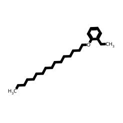 CCCCCCCCCCCCCCCCOc1ccccc1CC